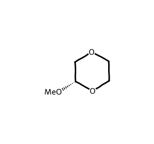 CO[C@@H]1COCCO1